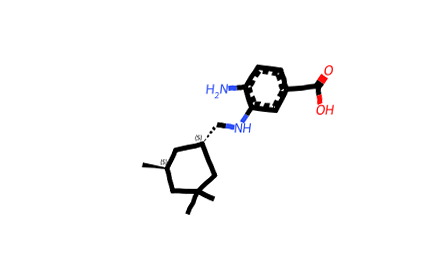 C[C@H]1C[C@H](CNc2cc(C(=O)O)ccc2N)CC(C)(C)C1